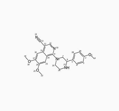 COc1ccc(C2CN(c3ncc(C#N)c4cc(OC)c(OC)cc34)CCN2)cc1